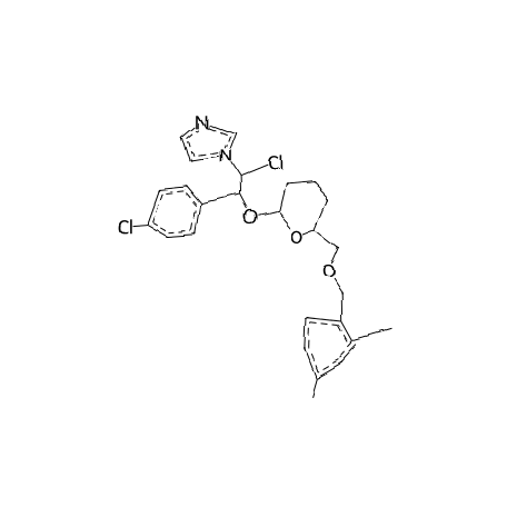 Cc1ccc(COCC2CCCC(OC(c3ccc(Cl)cc3)C(Cl)n3ccnc3)O2)c(C)c1